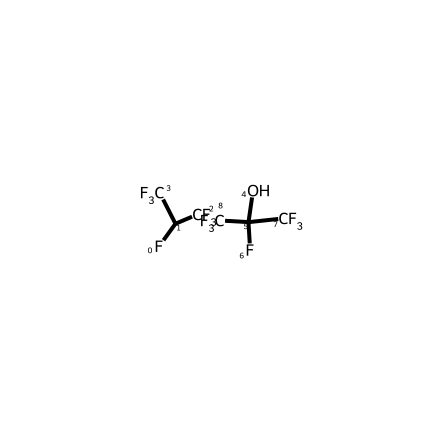 FC(C(F)(F)F)C(F)(F)F.OC(F)(C(F)(F)F)C(F)(F)F